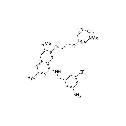 C/N=C\C(=C/NC)OCCOc1cc2c(NCc3cc(N)cc(C(F)(F)F)c3)nc(C)nc2cc1OC